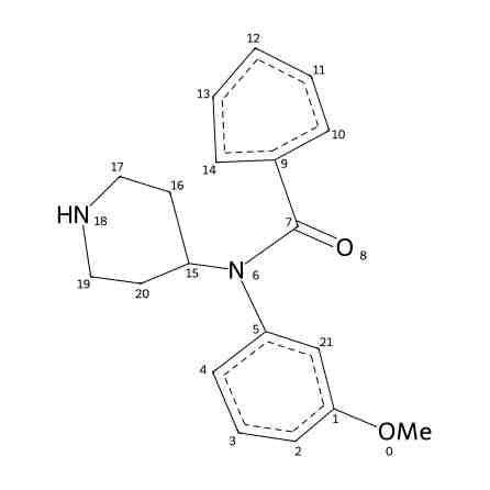 COc1cccc(N(C(=O)c2ccccc2)C2CCNCC2)c1